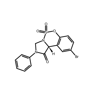 O=C1[C@H]2c3cc(Br)ccc3OS(=O)(=O)N2CN1c1ccccc1